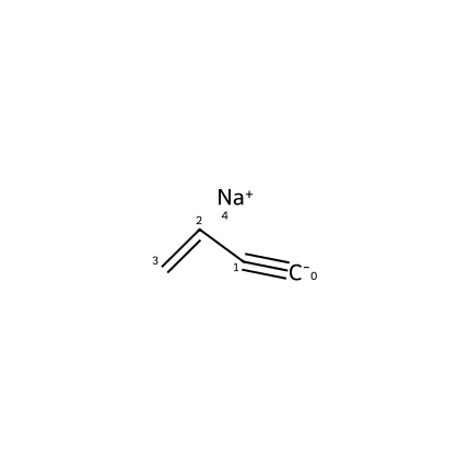 [C-]#CC=C.[Na+]